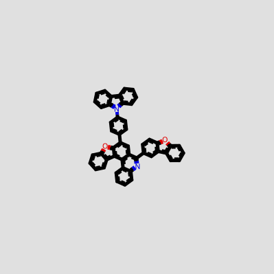 c1ccc2c(c1)nc(-c1ccc3oc4ccccc4c3c1)c1cc(-c3ccc(-n4c5ccccc5c5ccccc54)cc3)c3oc4ccccc4c3c12